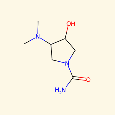 CN(C)C1CN(C(N)=O)CC1O